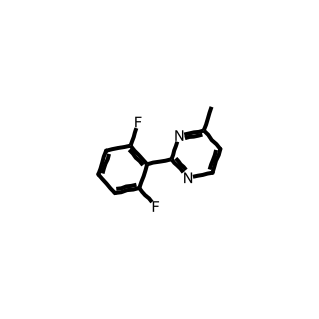 Cc1ccnc(-c2c(F)cccc2F)n1